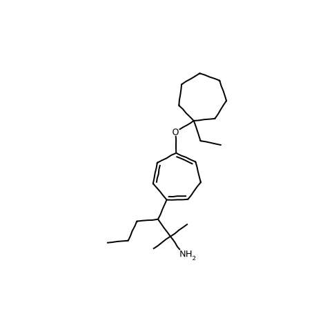 CCCC(C1=CCC=C(OC2(CC)CCCCCC2)C=C1)C(C)(C)N